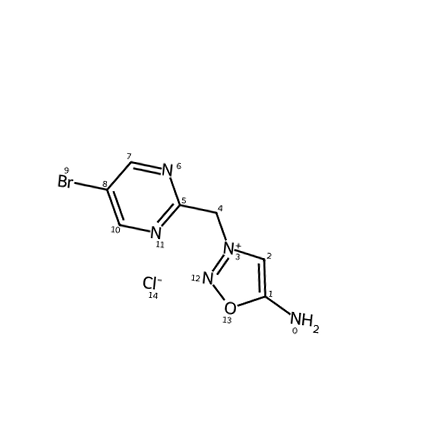 Nc1c[n+](Cc2ncc(Br)cn2)no1.[Cl-]